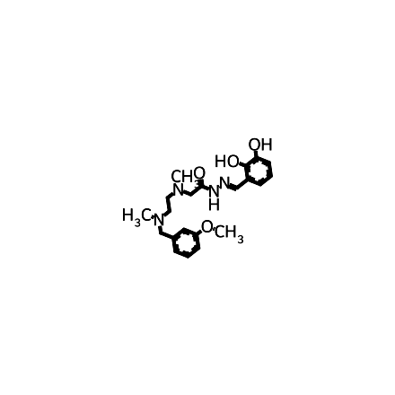 COc1cccc(CN(C)CCN(C)CC(=O)NN=Cc2cccc(O)c2O)c1